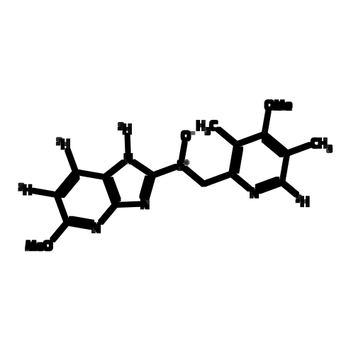 [2H]c1nc(C[S+]([O-])c2nc3nc(OC)c([2H])c([2H])c3n2[2H])c(C)c(OC)c1C